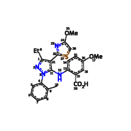 CCc1nn(-c2ccccc2C)c(Nc2ccc(OC)cc2C(=O)O)c1-c1nc(OC)cs1